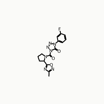 Cc1noc(C2CCCN2C(=O)n2nnn(-c3cccc(F)c3)c2=O)n1